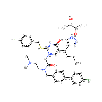 CCN(CC)CCN(Cc1ccc(-c2ccc(Cl)cc2)cc1)C(=O)Cn1cc(C(CCOC)c2cn[nH]c2)c(=O)nc1SCc1ccc(F)cc1.O=C(O)C(O)C(O)C(=O)O